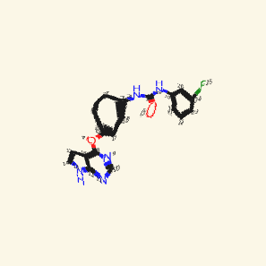 O=C(Nc1ccc(Oc2ncnc3[nH]ccc23)cc1)Nc1cccc(F)c1